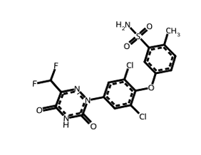 Cc1ccc(Oc2c(Cl)cc(-n3nc(C(F)F)c(=O)[nH]c3=O)cc2Cl)cc1S(N)(=O)=O